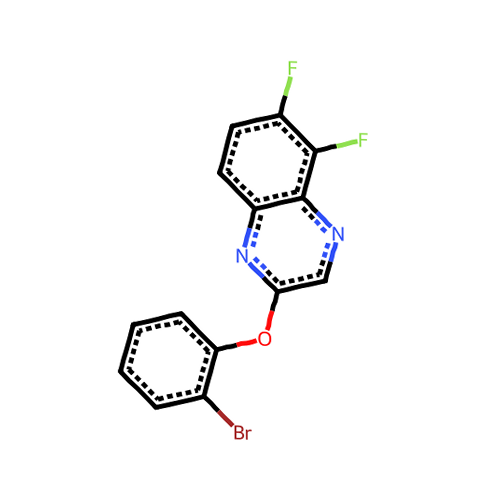 Fc1ccc2nc(Oc3ccccc3Br)cnc2c1F